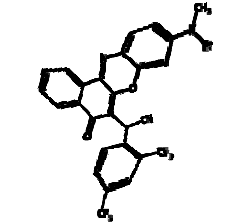 CCN(C)c1ccc2nc3c4ccccc4c(=O)c(C(C#N)c4ccc(C(F)(F)F)cc4C(F)(F)F)c-3oc2c1